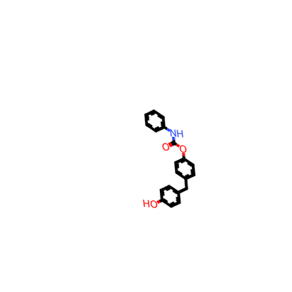 O=C(Nc1ccccc1)Oc1ccc(Cc2ccc(O)cc2)cc1